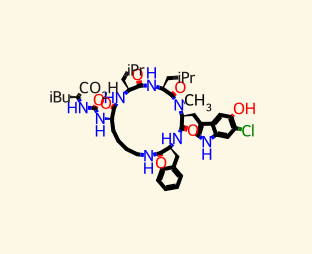 CCC(C)[C@H](NC(=O)N[C@@H]1CCCCNC(=O)[C@H](Cc2ccccc2)NC(=O)[C@H](Cc2c[nH]c3cc(Cl)c(O)cc23)N(C)C(=O)[C@H](CC(C)C)NC(=O)[C@H](CC(C)C)NC1=O)C(=O)O